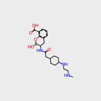 CNCCNC1CCC(CC(=O)NC2Cc3cccc(C(=O)O)c3OB2O)CC1